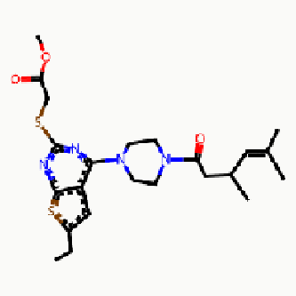 CCc1cc2c(N3CCN(C(=O)CC(C)C=C(C)C)CC3)nc(SCC(=O)OC)nc2s1